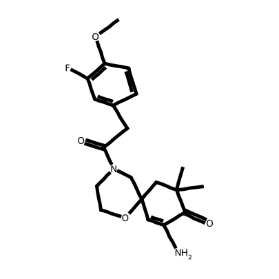 COc1ccc(CC(=O)N2CCOC3(C=C(N)C(=O)C(C)(C)C3)C2)cc1F